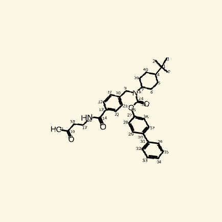 CC(C)(C)C1CCC(N(Cc2ccc(C(=O)NCCC(=O)O)cc2)C(=O)Oc2ccc(-c3ccccc3)cc2)CC1